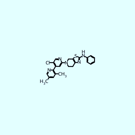 Cc1cnc(-c2cc(N3CCc4nc(Nc5ccccc5)sc4C3)ncc2Cl)c(C)c1